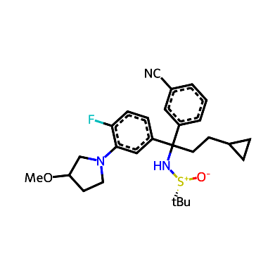 COC1CCN(c2cc(C(CCC3CC3)(N[S@+]([O-])C(C)(C)C)c3cccc(C#N)c3)ccc2F)C1